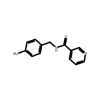 CC(C)(C)c1ccc(CNC(=O)c2cccnc2)cc1